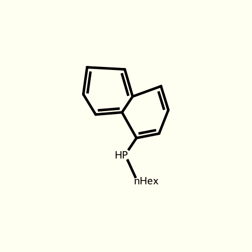 CCCCCCPc1cccc2ccccc12